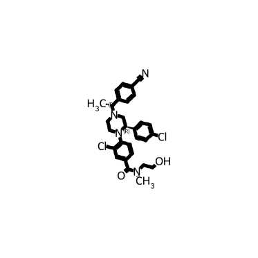 C[C@H](c1ccc(C#N)cc1)N1CCN(c2ccc(C(=O)N(C)CCO)cc2Cl)[C@H](c2ccc(Cl)cc2)C1